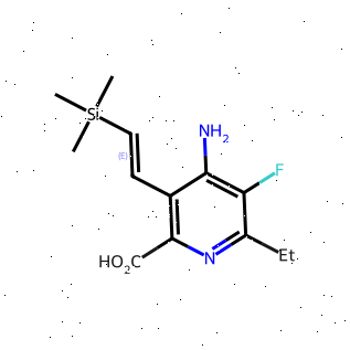 CCc1nc(C(=O)O)c(/C=C/[Si](C)(C)C)c(N)c1F